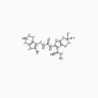 B=C(OCC)c1c(NC(=O)NCc2c(Br)sc3c2CCNC3)sc2c1CCC(F)(F)C2